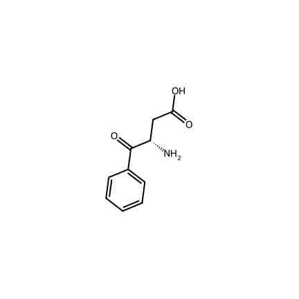 N[C@@H](CC(=O)O)C(=O)c1ccccc1